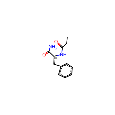 CCC(=O)N[C@@H](Cc1ccccc1)C(N)=O